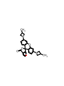 CC1CN(c2ccc3c(c2)Oc2cc(N4CC(C)C4)ccc2C32OC(=O)c3ccccc32)C1